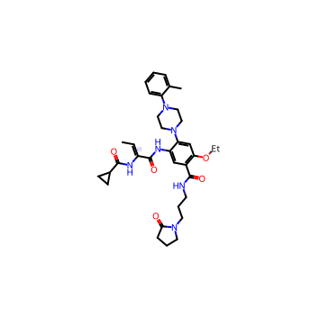 C/C=C(\NC(=O)C1CC1)C(=O)Nc1cc(C(=O)NCCCN2CCCC2=O)c(OCC)cc1N1CCN(c2ccccc2C)CC1